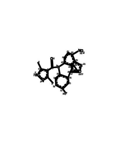 Cc1n[nH]c(C)c1C(=O)N(c1ccc(F)cc1C1CC1)c1ccc([N+](=O)[O-])c2nonc12